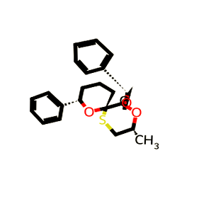 C[C@@H]1CS[C@@]2(CCC[C@@H](c3ccccc3)O2)[C@@]2(CCC[C@@H](c3ccccc3)O2)O1